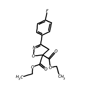 CCOC(=O)C1(C(=O)OCC)CC(c2ccc(F)cc2)=NO1